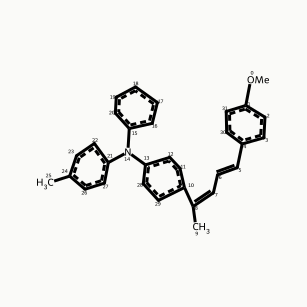 COc1ccc(C=CC=C(C)c2ccc(N(c3ccccc3)c3ccc(C)cc3)cc2)cc1